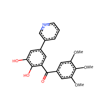 COc1cc(C(=O)c2cc(-c3cccnc3)cc(O)c2O)cc(OC)c1OC